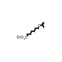 C=C(C)OCCCCCCC(=O)OCC